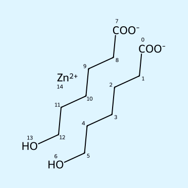 O=C([O-])CCCCCO.O=C([O-])CCCCCO.[Zn+2]